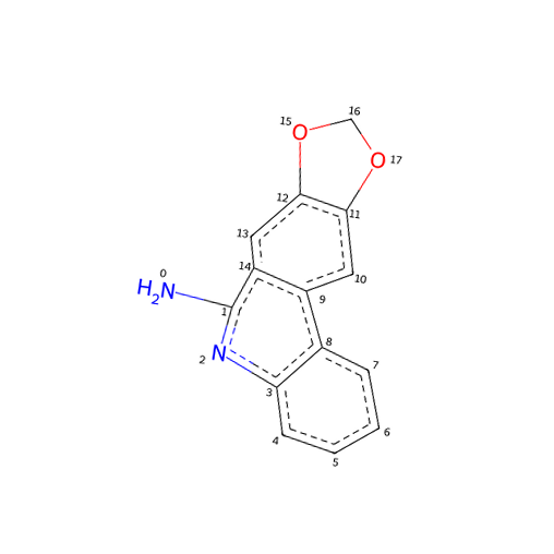 Nc1nc2ccccc2c2cc3c(cc12)OCO3